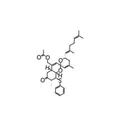 CC(=O)OCC1=C[C@]2(C=C(C)C[C@@H](/C=C(\C)CCC=C(C)C)O2)O[C@@H]2[C@@H](Sc3ccccc3)[C@H](C)C(=O)C[C@H]12